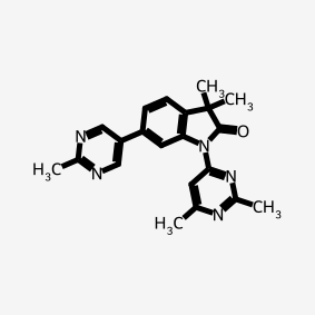 Cc1cc(N2C(=O)C(C)(C)c3ccc(-c4cnc(C)nc4)cc32)nc(C)n1